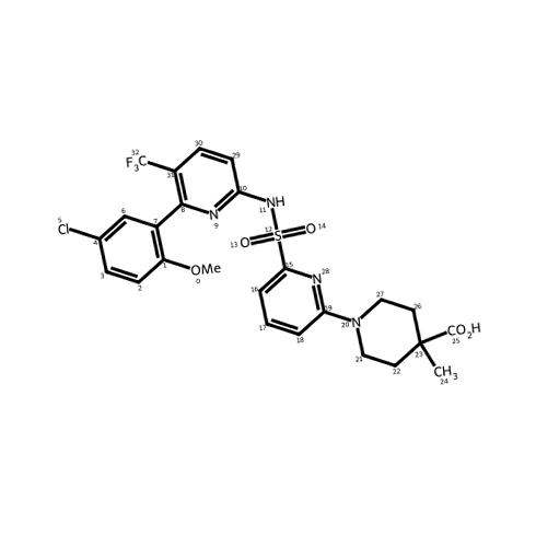 COc1ccc(Cl)cc1-c1nc(NS(=O)(=O)c2cccc(N3CCC(C)(C(=O)O)CC3)n2)ccc1C(F)(F)F